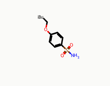 CCC(C)COc1ccc(S(N)(=O)=O)cc1